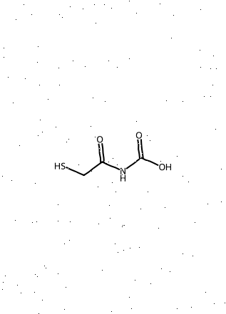 O=C(O)NC(=O)CS